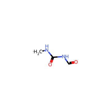 [CH2]NC(=O)NC=O